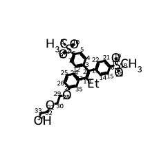 CCC(=C(c1ccc(S(C)(=O)=O)cc1)c1ccc(S(C)(=O)=O)cc1)c1cccc(OCCOCCO)c1